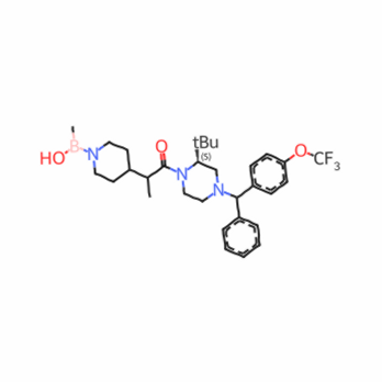 CB(O)N1CCC(C(C)C(=O)N2CCN(C(c3ccccc3)c3ccc(OC(F)(F)F)cc3)C[C@@H]2C(C)(C)C)CC1